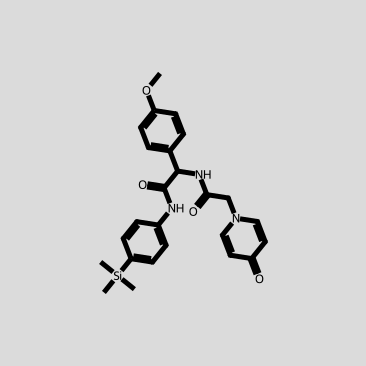 COc1ccc(C(NC(=O)Cn2ccc(=O)cc2)C(=O)Nc2ccc([Si](C)(C)C)cc2)cc1